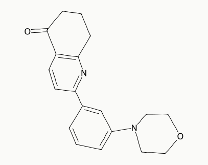 O=C1CCCc2nc(-c3cccc(N4CCOCC4)c3)ccc21